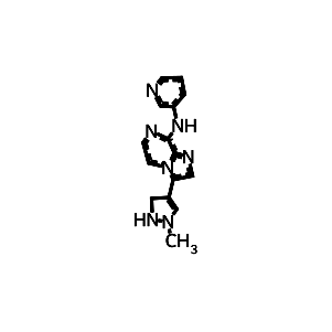 CN1C=C(c2cnc3c(Nc4cccnc4)nccn23)CN1